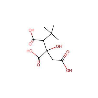 CC(C)(C)C(C(=O)O)C(O)(CC(=O)O)C(=O)O